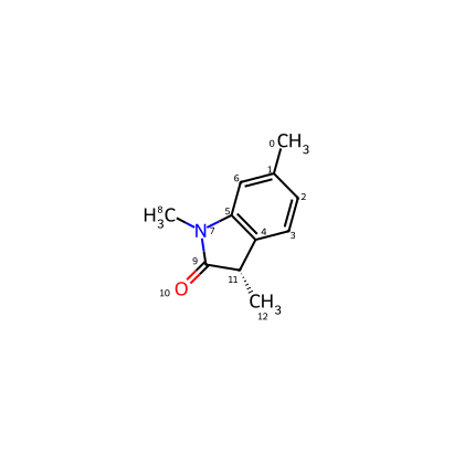 Cc1ccc2c(c1)N(C)C(=O)[C@H]2C